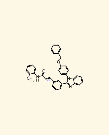 Nc1ccccc1NC(=O)/C=C/c1cccc(-c2nc3ccccc3n2-c2ccc(OCc3ccccc3)cc2)c1